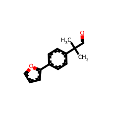 CC(C)(C=O)c1ccc(-c2ccco2)cc1